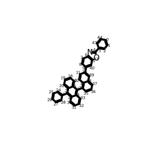 c1ccc(-c2nc3ccc(-c4ccc5c(-c6c7ccccc7c(-c7ccccc7)c7ccccc67)cccc5c4)cc3o2)cc1